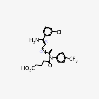 C=C(/N=C\C=C(/N)c1cccc(Cl)c1)N(C(=O)CCCC(=O)O)c1ccc(C(F)(F)F)cc1